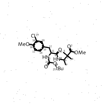 COC(=O)C(C)(C)C(C)NC(=O)C(Cc1ccc(OC)c(Cl)c1)NC(=O)OC(C)(C)C